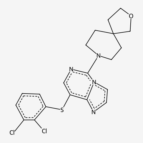 Clc1cccc(Sc2cnc(N3CCC4(CCOC4)CC3)n3ccnc23)c1Cl